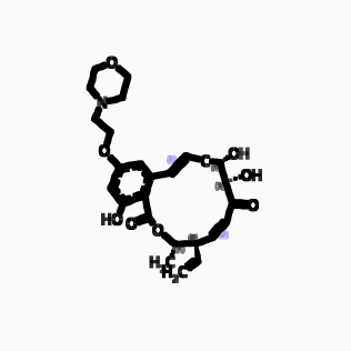 C=C[C@@H]1/C=C\C(=O)[C@@H](O)[C@@H](O)C/C=C/c2cc(OCCN3CCOCC3)cc(O)c2C(=O)O[C@H]1C